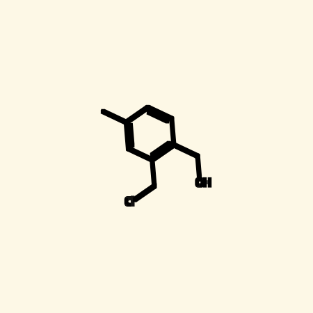 Cc1ccc(CO)c(CCl)c1